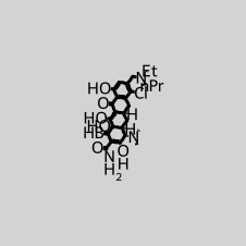 B=C1C(C(N)=O)=C(O)[C@@H](N(C)C)[C@@H]2C[C@@H]3Cc4c(Cl)c(CN(CC)CCC)cc(O)c4C(=O)C3=C(O)[C@]12O